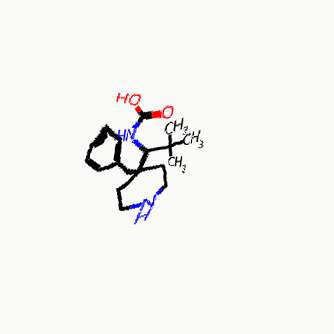 CC(C)(C)C(NC(=O)O)C1(c2ccccc2)CCNCC1